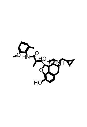 COc1cccc(C)c1NC(=O)/C(C)=C(\O)[C@@H]1Oc2c(O)ccc3c2[C@@]12CCN(CC1CC1)[C@H](C3)[C@@]2(C)O